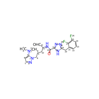 CN(C)c1ccnn1CCCC(C=O)NC(=O)c1nnc(Cc2cccc(F)c2F)[nH]1